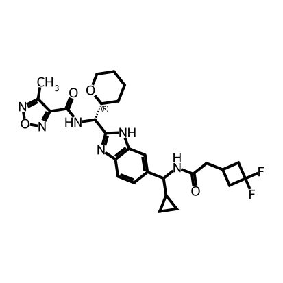 Cc1nonc1C(=O)NC(c1nc2ccc(C(NC(=O)CC3CC(F)(F)C3)C3CC3)cc2[nH]1)[C@H]1CCCCO1